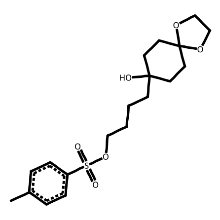 Cc1ccc(S(=O)(=O)OCCCCC2(O)CCC3(CC2)OCCO3)cc1